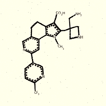 Cn1c2c(c(C(=O)O)c1C1(CN)CNC1)CCc1cnc(-c3ccc(C(F)(F)F)nc3)cc1-2